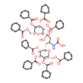 O=C(O)NC(C[C@@H]1O[C@H](COC(=O)c2ccccc2)[C@@H](OC(=O)c2ccccc2)[C@H](OC(=O)c2ccccc2)[C@@H]1OC(=O)c1ccccc1)CC(O)(O)[C@@H]1O[C@H](COC(=O)c2ccccc2)[C@@H](OC(=O)c2ccccc2)[C@H](OC(=O)c2ccccc2)[C@@H]1OC(=O)c1ccccc1